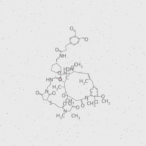 COc1cc2cc(c1Cl)N(C)C(=O)C[C@H](OC(=O)[C@H](C)N(C)C(=O)CCSC1CC(=O)N(CCNC(=O)[C@H]3CC[C@H](CNC(=O)CCc4ccc(C=O)c(C=O)c4)CC3)C1=O)C1(C)OC1C(C)C1CC(O)(NC(=O)O1)C(OC)/C=C/C=C(\C)C2